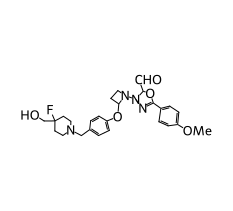 COc1ccc(C2=NN(N3CCC3Oc3ccc(CN4CCC(F)(CO)CC4)cc3)C(C=O)O2)cc1